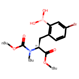 CCCCOC(=O)N([C@@H](Cc1ccc(Br)cc1B(O)O)C(=O)OC(C)(C)C)C(C)(C)C